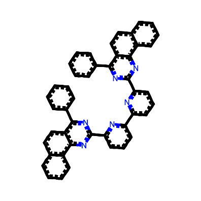 c1ccc(-c2nc(-c3cccc(-c4cccc(-c5nc(-c6ccccc6)c6ccc7ccccc7c6n5)n4)n3)nc3c2ccc2ccccc23)cc1